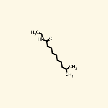 CCNC(=O)CCCCCCCC(C)C